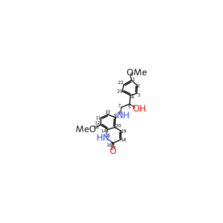 COc1ccc(C(O)CNc2ccc(OC)c3[nH]c(=O)ccc23)cc1